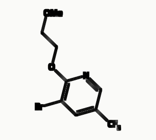 COCCOc1ncc(C(F)(F)F)cc1Br